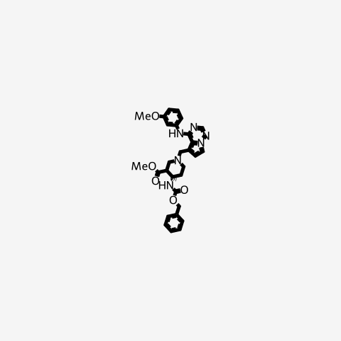 COC(=O)C1CN(Cc2ccn3ncnc(Nc4cccc(OC)c4)c23)CC[C@@H]1NC(=O)OCc1ccccc1